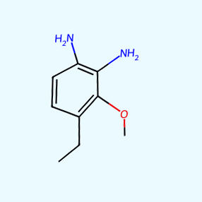 CCc1ccc(N)c(N)c1OC